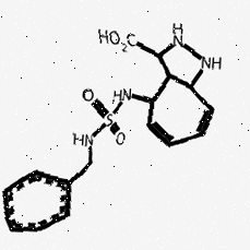 O=C(O)C1NNC2C=CC=CC(NS(=O)(=O)NCc3ccccc3)C21